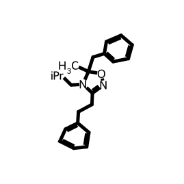 CC(C)CN1C(CCc2ccccc2)=NOC1(C)Cc1ccccc1